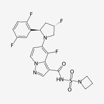 O=C(NS(=O)(=O)N1CCC1)c1cnn2ccc(N3C[C@@H](F)C[C@@H]3c3cc(F)ccc3F)c(F)c12